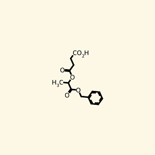 CC(OC(=O)CCC(=O)O)C(=O)OCc1ccccc1